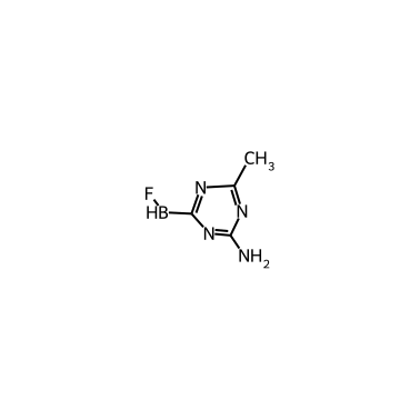 Cc1nc(N)nc(BF)n1